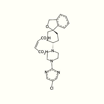 Clc1cnc(N2CCN([C@H]3CC[C@@]4(CC3)OCc3ccccc34)CC2)nc1.O=C(O)/C=C\C(=O)O